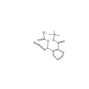 C[Si](C)(C)OC(=O)c1ccccc1C(N=[N+]=[N-])OC(=O)C(F)(F)F